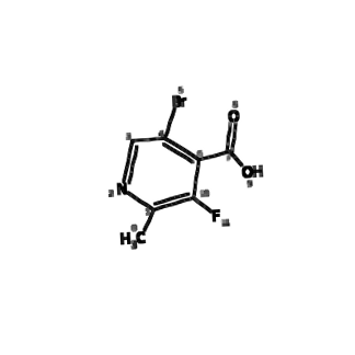 Cc1ncc(Br)c(C(=O)O)c1F